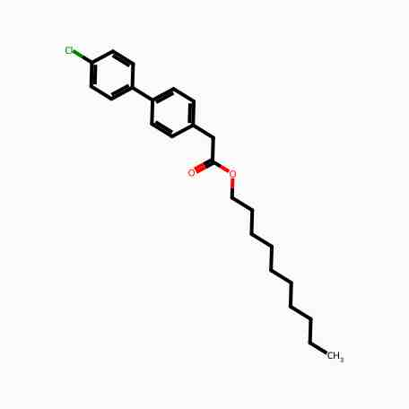 CCCCCCCCCCOC(=O)Cc1ccc(-c2ccc(Cl)cc2)cc1